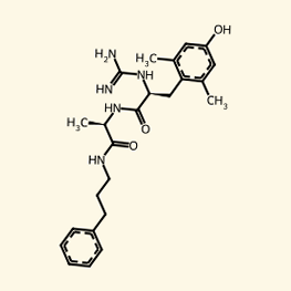 Cc1cc(O)cc(C)c1C[C@H](NC(=N)N)C(=O)N[C@H](C)C(=O)NCCCc1ccccc1